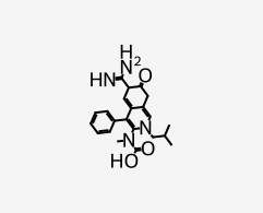 CC(C)CN1C=C2CC(=O)C(C(=N)N)C=C2C(c2ccccc2)=C1N(C)C(=O)O